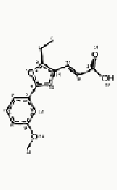 CCc1oc(-c2cccc(OC)c2)cc1/C=C/C(=O)O